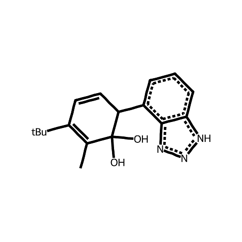 CC1=C(C(C)(C)C)C=CC(c2cccc3[nH]nnc23)C1(O)O